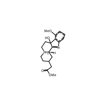 COC(=O)CC1CCN2CCC3(O)C(=Nc4cccc(OC)c43)[C@@H]2C1